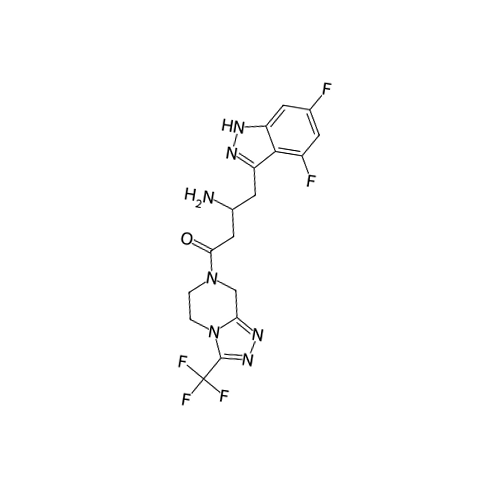 NC(CC(=O)N1CCn2c(nnc2C(F)(F)F)C1)Cc1n[nH]c2cc(F)cc(F)c12